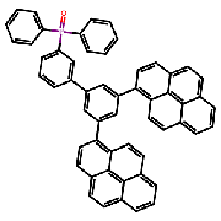 O=P(c1ccccc1)(c1ccccc1)c1cccc(-c2cc(-c3ccc4ccc5cccc6ccc3c4c56)cc(-c3ccc4ccc5cccc6ccc3c4c56)c2)c1